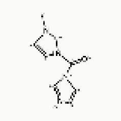 CN1C=CN(C(=O)n2ccnc2)C1